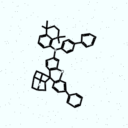 CC1(C)CCC(C)(C)c2c(N(c3ccc(-c4ccccc4)cc3)c3ccc4c(c3)Oc3cc(-c5ccccc5)ccc3C43C4CC5CC6CC3C64C5)cccc21